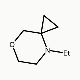 CCN1CCOCC12CC2